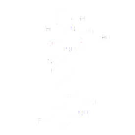 CC(C)(C)OC(=O)N1[C@@H]2CC[C@@H](C2)[C@H]1C(=O)NC(C#N)Cc1cc2c(=O)[nH]c3ccc(F)cc3c2cc1F